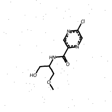 COCC(CO)NC(=O)c1cnc(Cl)cn1